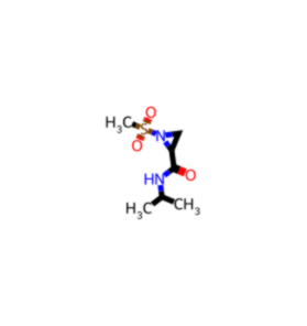 CC(C)NC(=O)C1CN1S(C)(=O)=O